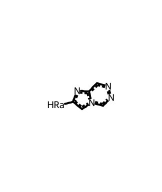 [RaH][c]1cn2cnncc2n1